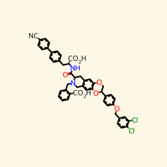 N#Cc1ccc(-c2ccc(C[C@H](NC(=O)C3Cc4cc5c(cc4CN3Cc3ccccc3C(=O)O)OC(c3ccc(OCc4ccc(Cl)c(Cl)c4)cc3)CO5)C(=O)O)cc2)cc1